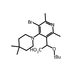 Cc1nc(C)c(C(OC(C)(C)C)C(=O)O)c(N2CCC(C)(C)CC2)c1Br